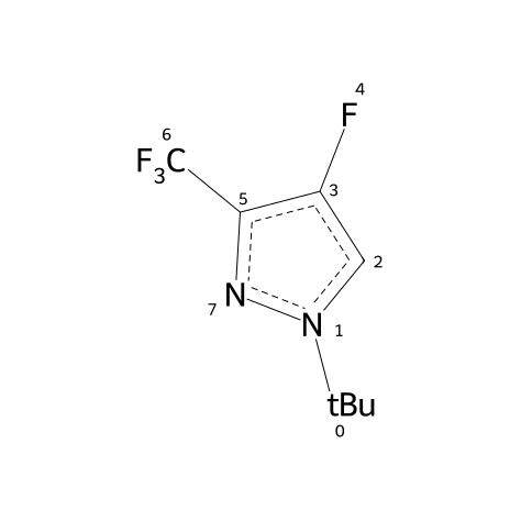 CC(C)(C)n1cc(F)c(C(F)(F)F)n1